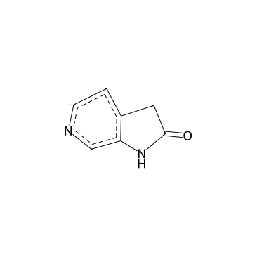 O=C1Cc2c[c]ncc2N1